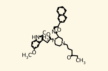 CCC(=O)CCCN1CCN(C(=O)Cc2c(C)[nH]c3ccc(OC)cc23)C(c2ncc(-c3ccc4ccccc4c3)o2)C1